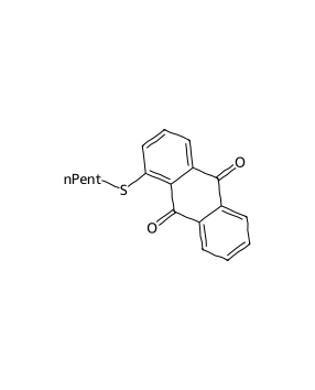 CCCCCSc1cccc2c1C(=O)c1ccccc1C2=O